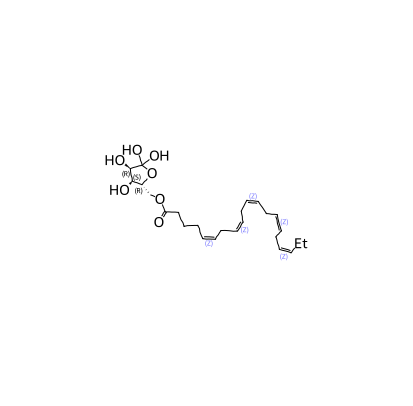 CC/C=C\C/C=C\C/C=C\C/C=C\C/C=C\CCCC(=O)OC[C@H]1OC(O)(O)[C@H](O)[C@@H]1O